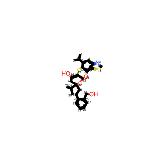 CC(C)c1cc2ncsc2cc1SC1=C(O)CC(CCc2ccccc2CO)(C(C)C)OC1=O